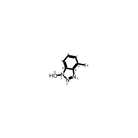 On1nnc2c(I)cccc21